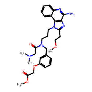 COCCc1nc2c(N)nc3ccccc3c2n1CCCN(Cc1cccc(OCC(=O)OC)c1)C(=O)CN(C)C